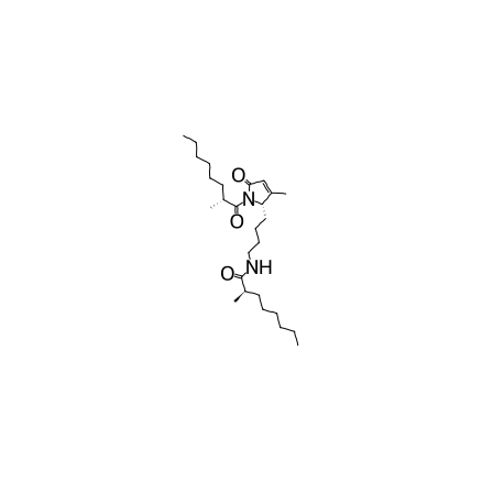 CCCCCC[C@@H](C)C(=O)NCCCC[C@H]1C(C)=CC(=O)N1C(=O)[C@H](C)CCCCCC